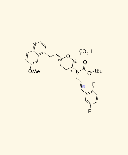 COc1ccc2nccc(CC[C@@H]3CC[C@@H](N(C/C=C/c4cc(F)ccc4F)C(=O)OC(C)(C)C)[C@@H](CC(=O)O)O3)c2c1